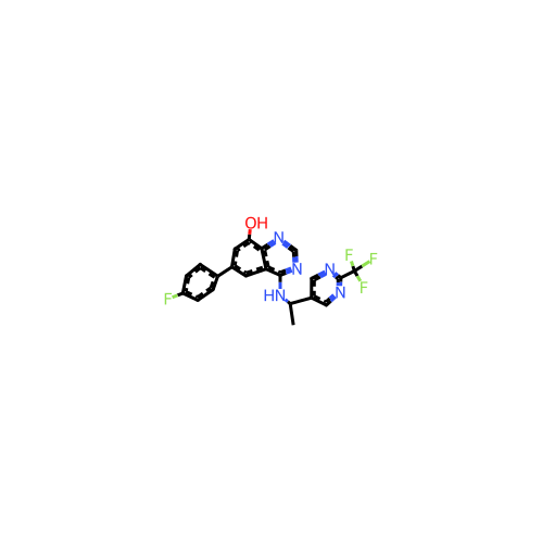 CC(Nc1ncnc2c(O)cc(-c3ccc(F)cc3)cc12)c1cnc(C(F)(F)F)nc1